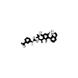 CC(=O)c1cccc(NC(=O)O[C@H]2[C@H](C)c3c(cc(F)c(-c4cccc5cc[nH]c45)c3F)NC2(C)C)c1